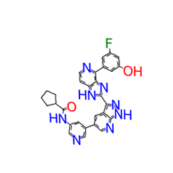 O=C(Nc1cncc(-c2cnc3[nH]nc(-c4nc5c(-c6cc(O)cc(F)c6)nccc5[nH]4)c3c2)c1)C1CCCC1